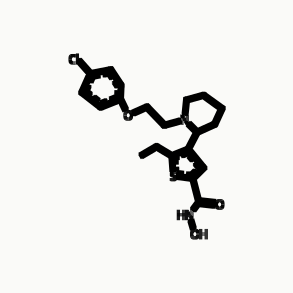 CCc1sc(C(=O)NO)cc1C1CCCCN1CCOc1ccc(Cl)cc1